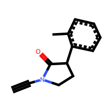 C#CN1CCC(c2ccccc2C)C1=O